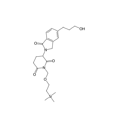 C[Si](C)(C)CCOCN1C(=O)CCC(N2Cc3cc(CCCO)ccc3C2=O)C1=O